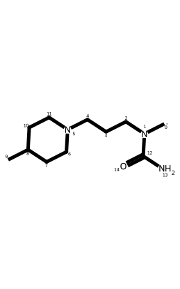 [CH2]N(CCCN1CCC(C)CC1)C(N)=O